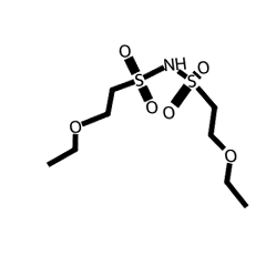 CCOCCS(=O)(=O)NS(=O)(=O)CCOCC